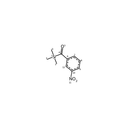 C[Si](C)(C)C(=O)c1cccc([N+](=O)[O-])c1